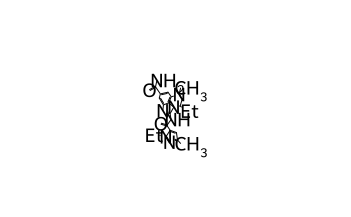 CCC1CN(C)c2cc(C(N)=O)cc3nc(NC(=O)c4cc(C)nn4CC)n1c23